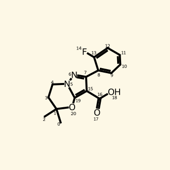 CC1(C)CCn2nc(-c3ccccc3F)c(C(=O)O)c2O1